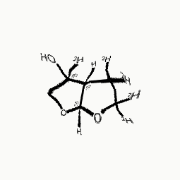 [2H]C1([2H])O[C@@H]2OC[C@]([2H])(O)[C@@H]2C1([2H])[2H]